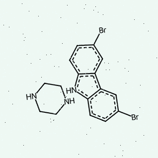 Brc1ccc2[nH]c3ccc(Br)cc3c2c1.C1CNCCN1